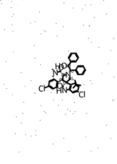 CC(C)C[C@H]1N([C@H](c2ccccc2)[C@@H](O)c2ccccc2)[C@@H](C(=O)N(C)C)[C@H](c2ccc(Cl)cc2)[C@@]12C(=O)Nc1cc(Cl)ccc12